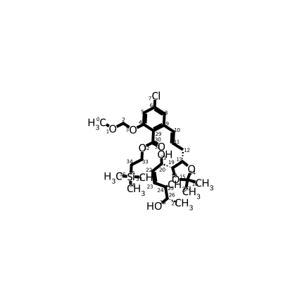 COCOc1cc(Cl)cc(/C=C/C[C@@H]2OC(C)(C)O[C@@H]2C(O)/C=C\[C@@H](C)[C@H](C)O)c1C(=O)OCC[Si](C)(C)C